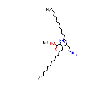 CCCCCCCCCCCCC(CCN)C(CCCCCCCCCCCC)C(N)C(=O)O.[NaH]